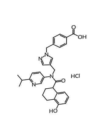 CC(C)c1ccc(N(Cc2cnn(Cc3ccc(C(=O)O)cc3)c2)C(=O)C2CCCc3c(O)cccc32)cn1.Cl